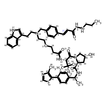 CCCNNC(=O)/C=C/c1ccc(CN(CCOCCC(=O)N[C@H](C(=O)N2C[C@H](O)C[C@H]2C(=O)N[C@@H](C)c2ccc(-c3scnc3C)cc2)C(C)(C)C)CCc2c[nH]c3ccccc23)cc1